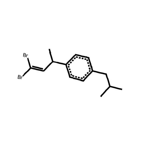 CC(C)Cc1ccc(C(C)C=C(Br)Br)cc1